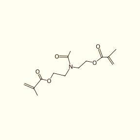 C=C(C)C(=O)OCCN(CCOC(=O)C(=C)C)C(C)=O